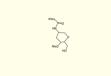 CCCCCCC(=O)NC1COC(CO)C(OC)C1